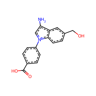 Nc1cn(-c2ccc(C(=O)O)cc2)c2ccc(CO)cc12